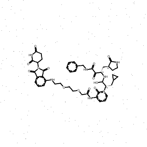 O=C1CCC(N2C(=O)c3cccc(NCCOCCOCC(=O)Nc4cccn([C@@H](CC5CC5)C(O)N[C@@H](C[C@@H]5CCNC5=O)C(=O)C(=O)NCc5ccccc5)c4=O)c3C2=O)C(=O)N1